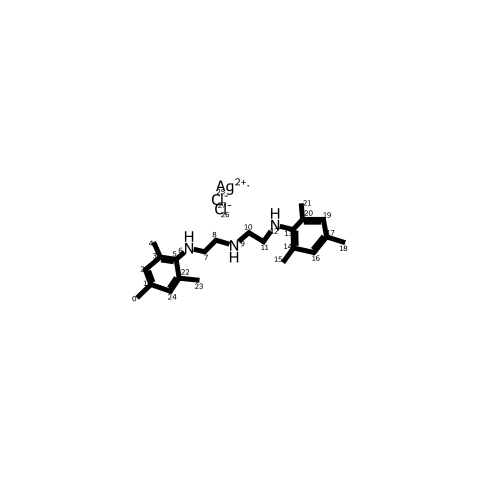 Cc1cc(C)c(NCCNCCNc2c(C)cc(C)cc2C)c(C)c1.[Ag+2].[Cl-].[Cl-]